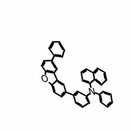 c1ccc(-c2ccc3oc4ccc(-c5cccc(N(c6ccccc6)c6cccc7ccccc67)c5)cc4c3c2)cc1